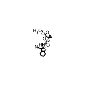 CCOC(=O)C(=O)C1(SCC(=O)Nc2sc3c(c2C#N)CCCC3)CC1